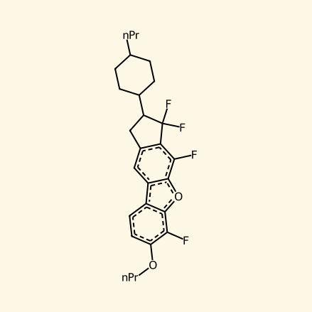 CCCOc1ccc2c(oc3c(F)c4c(cc32)CC(C2CCC(CCC)CC2)C4(F)F)c1F